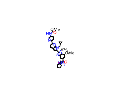 COC(=O)Nc1ccc(-c2ccc3cc(-c4nc5cc(C(=O)N6CC7CCC6[C@@H]7N)cc(OC)c5n4C)n(CC4CC4)c3n2)nc1